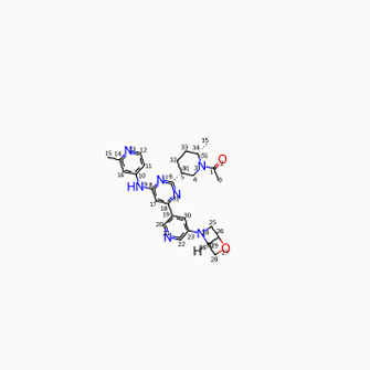 CC(=O)N1C[C@H](c2nc(Nc3ccnc(C)c3)cc(-c3cncc(N4CC5OC[C@H]54)c3)n2)CC[C@@H]1C